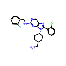 NC[C@H]1CC[C@H](n2c(-c3ccccc3Cl)nc3cnc(NCc4ccccc4F)nc32)CC1